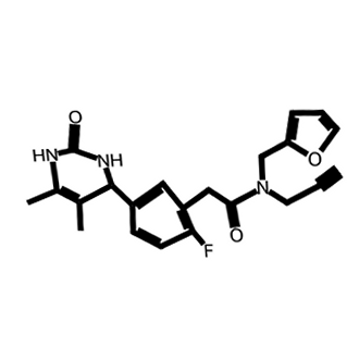 C#CCN(Cc1ccco1)C(=O)Cc1cc(C2NC(=O)NC(C)=C2C)ccc1F